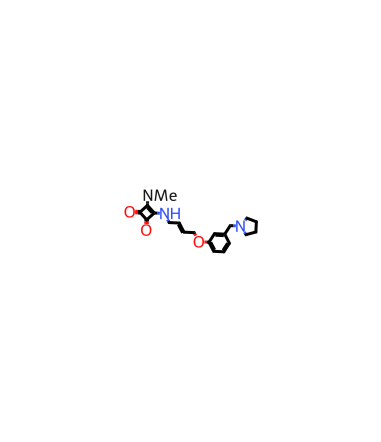 CNc1c(NCC=CCOc2cccc(CN3CCCC3)c2)c(=O)c1=O